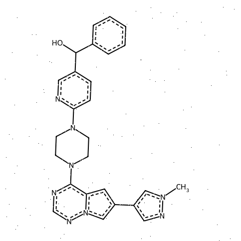 Cn1cc(-c2cc3c(N4CCN(c5ccc(C(O)c6ccccc6)cn5)CC4)ncnn3c2)cn1